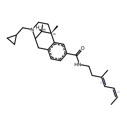 C/C=C\C=C(/C)CCNC(=O)c1ccc2c(c1)[C@@]1(C)CCN(CC3CC3)C(C2)[C@@H]1C